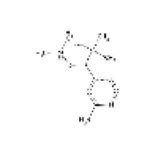 C[SiH](C)OC(c1ccnc(N)c1)C(C)(C)C